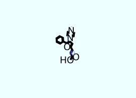 CN1CCN(c2cc(/C=C/C(=O)O)oc2-c2ccccc2)CC1